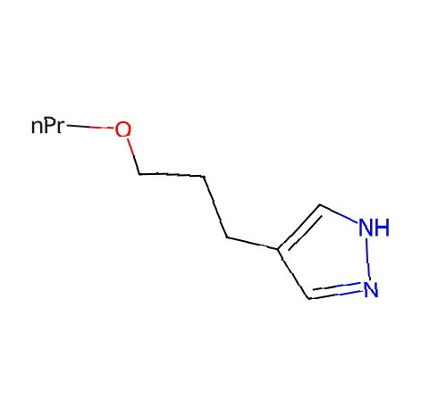 CCCOCCCc1cn[nH]c1